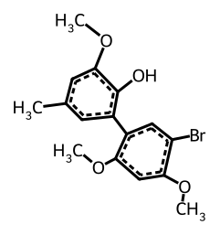 COc1cc(OC)c(-c2cc(C)cc(OC)c2O)cc1Br